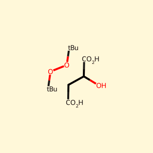 CC(C)(C)OOC(C)(C)C.O=C(O)CC(O)C(=O)O